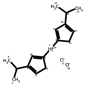 CC(C)C1=CC[C]([Hf+2][C]2=CC(C(C)C)=CC2)=C1.[Cl-].[Cl-]